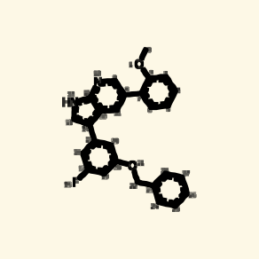 COc1ccccc1-c1cnc2[nH]cc(-c3cc(F)cc(OCc4ccccc4)c3)c2c1